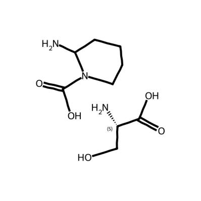 NC1CCCCN1C(=O)O.N[C@@H](CO)C(=O)O